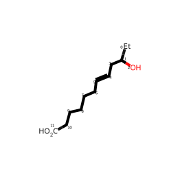 CCC(O)CC=CCCCCCC(=O)O